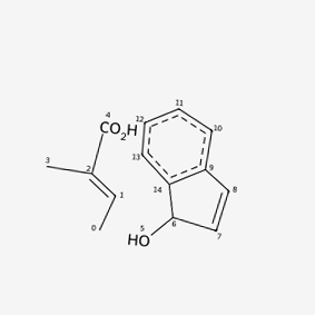 CC=C(C)C(=O)O.OC1C=Cc2ccccc21